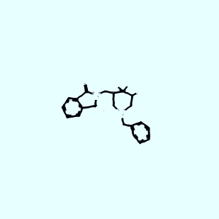 CC1CN(Cc2ccccc2)CC(CN2C(=O)c3ccccc3C2=O)C1(F)F